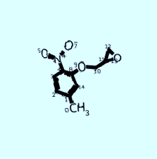 Cc1ccc([N+](=O)[O-])c(OCC2CO2)c1